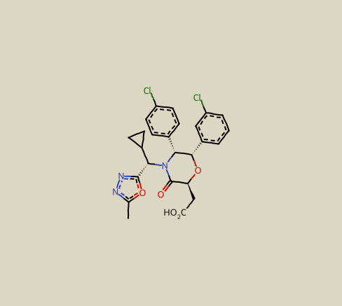 Cc1nnc([C@H](C2CC2)N2C(=O)[C@H](CC(=O)O)O[C@@H](c3cccc(Cl)c3)[C@H]2c2ccc(Cl)cc2)o1